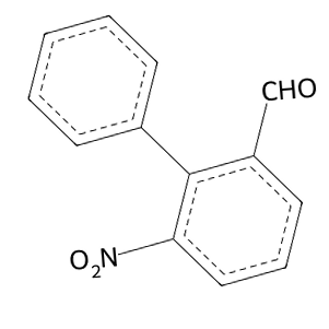 O=Cc1cccc([N+](=O)[O-])c1-c1ccccc1